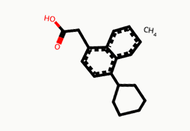 C.O=C(O)Cc1ccc(C2CCCCC2)c2ccccc12